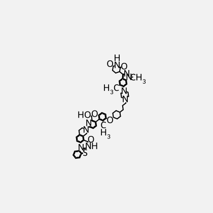 Cc1cc2c(C3CCC(=O)NC3=O)nn(C)c2cc1N1CCN(CCCC2CCC(Oc3cccc(-c4ccc(N5CCc6cccc(C(=O)Nc7nc8ccccc8s7)c6C5)nc4C(=O)O)c3C)CC2)CC1